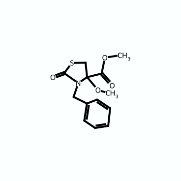 COC(=O)C1(OC)CSC(=O)N1Cc1ccccc1